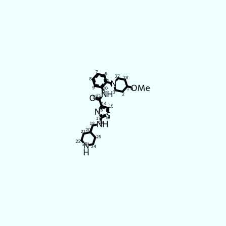 COC1CCN(c2ccccc2NC(=O)c2csc(NCC3CCNCC3)n2)CC1